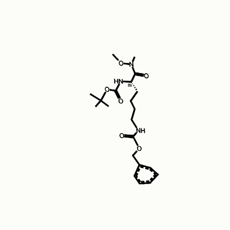 CON(C)C(=O)[C@H](CCCCNC(=O)OCc1ccccc1)NC(=O)OC(C)(C)C